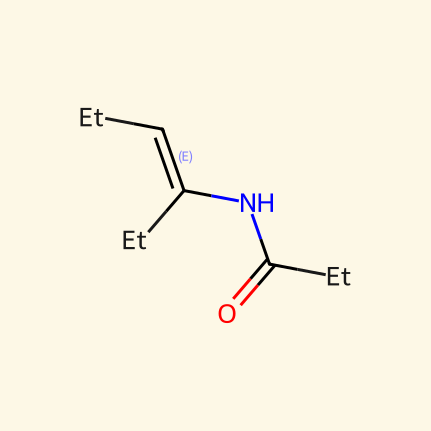 CC/C=C(\CC)NC(=O)CC